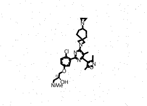 CNC[C@H](O)COc1ccc(Cl)c(-c2nc(-c3c(C)noc3C)c(C)c(N3CC4(CCC(N5CC5)CC4)C3)n2)c1